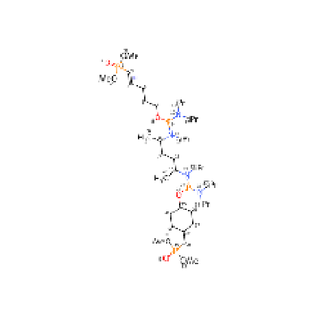 COP(=O)(/C=C/CCCOP(N(C(C)C)C(C)C)N(C(C)C)C(C)CCC(C)N(C(C)C)P(OC1CCC(CP(=O)(OC)OC)CC1)N(C(C)C)C(C)C)OC